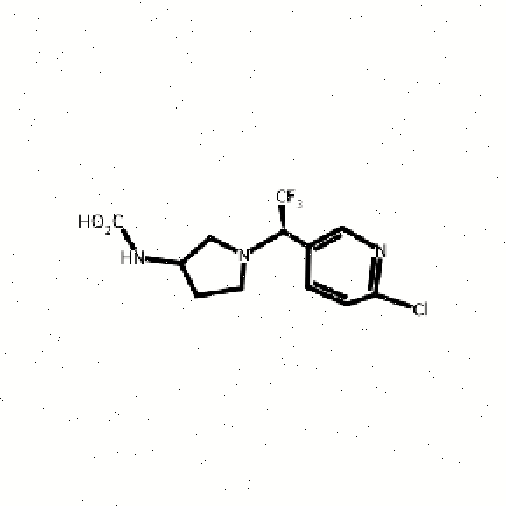 O=C(O)NC1CCN([C@H](c2ccc(Cl)nc2)C(F)(F)F)C1